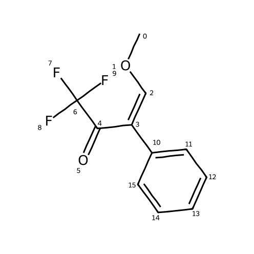 COC=C(C(=O)C(F)(F)F)c1ccccc1